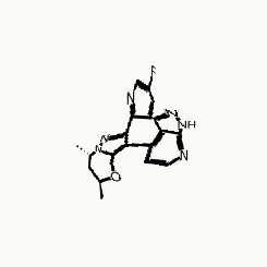 C[C@H]1C[C@H](C)n2nc(-c3ccc(F)cn3)c(-c3ccnc4[nH]ncc34)c2O1